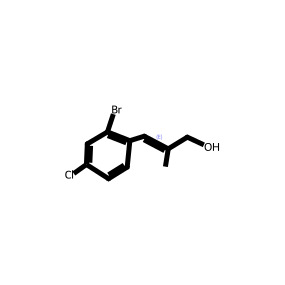 C/C(=C\c1ccc(Cl)cc1Br)CO